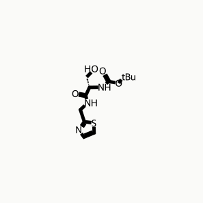 CC(C)(C)OC(=O)N[C@@H](CO)C(=O)NCc1nccs1